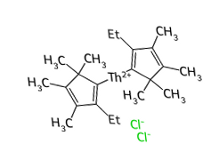 CCC1=[C]([Th+2][C]2=C(CC)C(C)=C(C)C2(C)C)C(C)(C)C(C)=C1C.[Cl-].[Cl-]